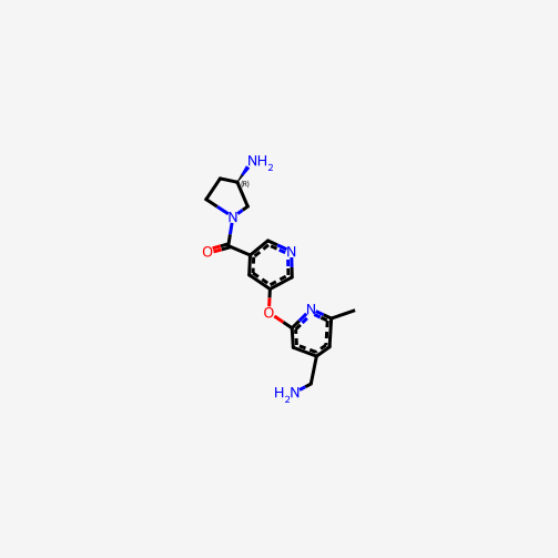 Cc1cc(CN)cc(Oc2cncc(C(=O)N3CC[C@@H](N)C3)c2)n1